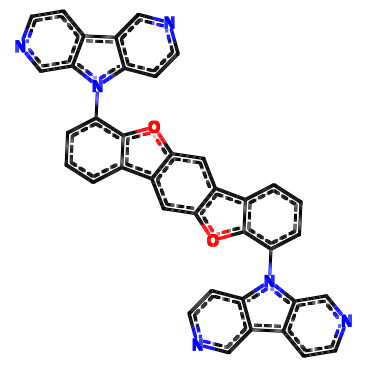 c1cc(-n2c3ccncc3c3ccncc32)c2oc3cc4c(cc3c2c1)oc1c(-n2c3ccncc3c3ccncc32)cccc14